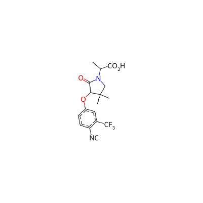 [C-]#[N+]c1ccc(OC2C(=O)N(C(C)C(=O)O)CC2(C)C)cc1C(F)(F)F